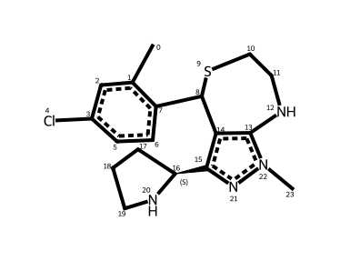 Cc1cc(Cl)ccc1C1SCCNc2c1c([C@@H]1CCCN1)nn2C